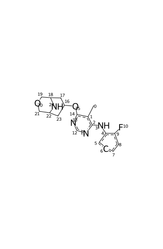 Cc1c(Nc2ccccc2F)ncnc1OC1CC2COCC(C1)N2